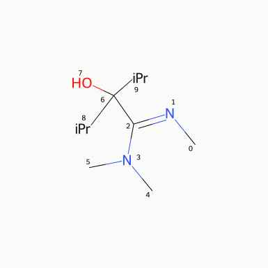 CN=C(N(C)C)C(O)(C(C)C)C(C)C